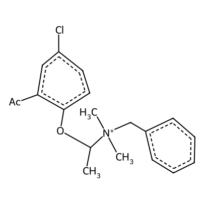 CC(=O)c1cc(Cl)ccc1OC(C)[N+](C)(C)Cc1ccccc1